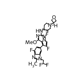 [2H]C1(N2CC[C@@H](Nc3nc(OC)c4c(-c5cc(F)c6nc(C)n(CC(F)F)c6c5)c(F)cn4n3)[C@H](F)C2)COC1